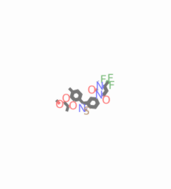 COC(=O)C(C)Oc1cc(C)ccc1-c1nsc2ccc(-n3c(=O)cc(C(F)(F)F)n(C)c3=O)cc12